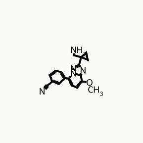 COc1ccc(-c2cccc(C#N)c2)n2nc(C3(CN)CC3)nc12